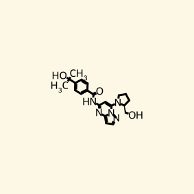 CC(C)(O)c1ccc(C(=O)Nc2cc(N3CCC[C@H]3CO)n3nccc3n2)cc1